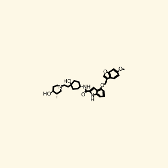 COc1ccc2c(COc3cccc4[nH]c(C(=O)N[C@H]5CC[C@](O)(CCN6CC[C@H](O)[C@@H](C)C6)CC5)cc34)coc2c1